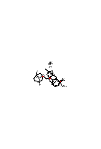 COC(=O)N1CCc2c(nc(C)n2[C@H]2C[C@H]3CC[C@@H](C2)N3CC[C@H](N)c2cccc(F)c2)C1.Cl.Cl.Cl